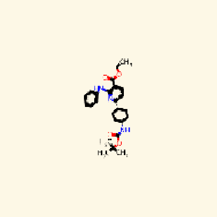 CCOC(=O)c1ccc([C@H]2CC[C@@H](NC(=O)OC(C)(C)C)CC2)nc1Nc1ccccc1